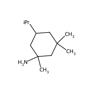 CC(C)C1CC(C)(C)CC(C)(N)C1